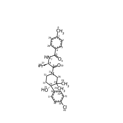 Cc1ccc(C(=O)N[C@@H](C(=O)N2CC[C@](O)(c3ccc(Cl)cc3)C(C)(C)C2)C(C)C)cc1